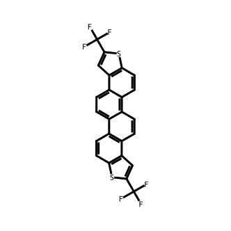 FC(F)(F)c1cc2c(ccc3c2ccc2c4ccc5sc(C(F)(F)F)cc5c4ccc32)s1